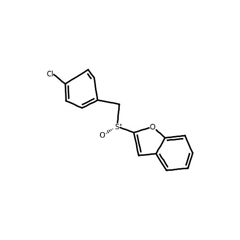 [O-][S@+](Cc1ccc(Cl)cc1)c1cc2ccccc2o1